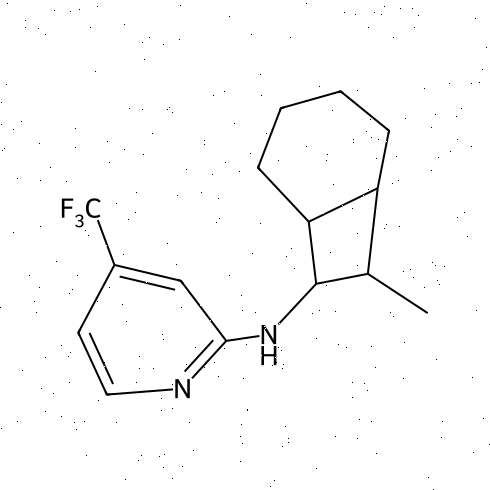 CC1C2CCCCC2C1Nc1cc(C(F)(F)F)ccn1